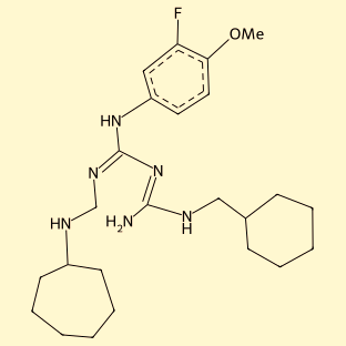 COc1ccc(NC(=N/CNC2CCCCCC2)/N=C(\N)NCC2CCCCC2)cc1F